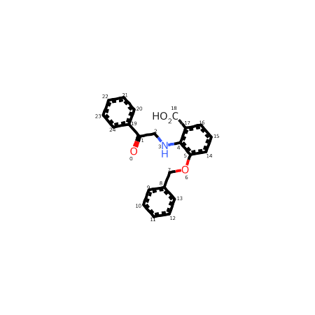 O=C(CNc1c(OCc2ccccc2)cccc1C(=O)O)c1ccccc1